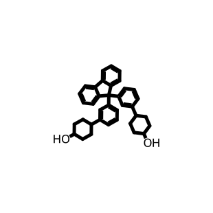 OC1CCC(c2cccc(C3(c4cccc(C5CCC(O)CC5)c4)c4ccccc4-c4ccccc43)c2)CC1